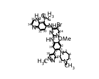 COc1cc(N2CCCN(C)CC2)c(-c2cnn(C)c2)cc1Nc1ncc(Br)c(Nc2ccc3nccnc3c2P(C)C)n1